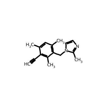 C#Cc1c(C)cc(C)c(Cn2ccnc2C)c1C